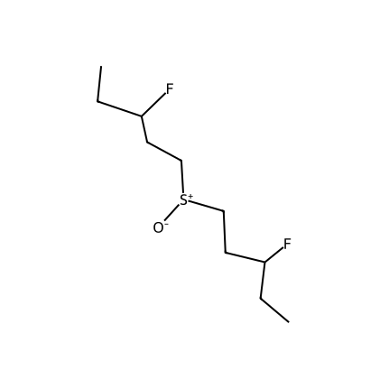 CCC(F)CC[S+]([O-])CCC(F)CC